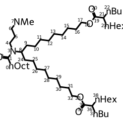 CCCCCCCCC(=O)N(CCCNC)C(CCCCCCCCCOC(=O)C(CCCC)CCCCCC)CCCCCCCCCOC(=O)C(CCCC)CCCCCC